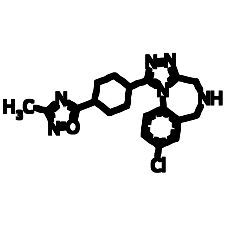 Cc1noc(C2CCC(c3nnc4n3-c3ccc(Cl)cc3CNC4)CC2)n1